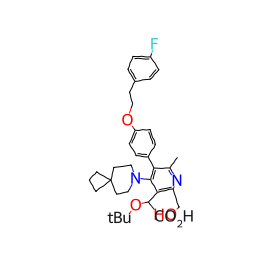 Cc1nc(CO)c(C(OC(C)(C)C)C(=O)O)c(N2CCC3(CCC3)CC2)c1-c1ccc(OCCc2ccc(F)cc2)cc1